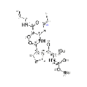 C=CCNC(=O)C(=O)C(C/C=C/C)NC(=O)[C@@H]1CCCN1C(=O)[C@@H](NC(=O)OC(C)(C)C)C(C)(C)C